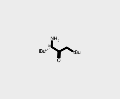 CCC(C)[C@H](N)C(=O)CC(C)(C)C